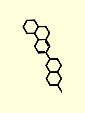 IC1CCC2CC(C3=CCC4C(=C3)CCC3CCCCC34)CCC2C1